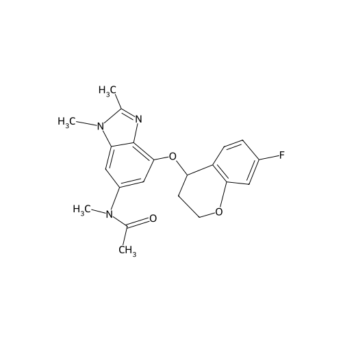 CC(=O)N(C)c1cc(OC2CCOc3cc(F)ccc32)c2nc(C)n(C)c2c1